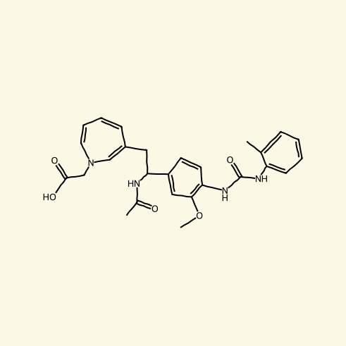 COc1cc(C(CC2=CN(CC(=O)O)C=CC=C2)NC(C)=O)ccc1NC(=O)Nc1ccccc1C